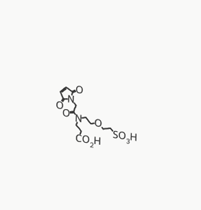 O=C(O)CCN(CCOCCS(=O)(=O)O)C(=O)CN1C(=O)C=CC1=O